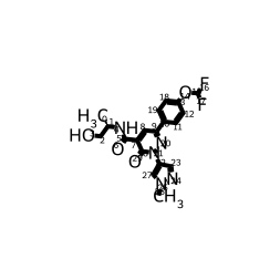 C[C@@H](CO)NC(=O)c1cc(-c2ccc(OC(F)F)cc2)nn(-c2cnn(C)c2)c1=O